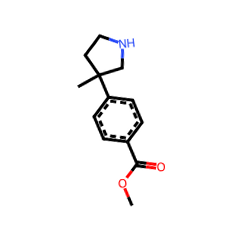 COC(=O)c1ccc(C2(C)CCNC2)cc1